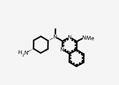 CNc1nc(N(C)[C@H]2CC[C@@H](N)CC2)nc2ccccc12